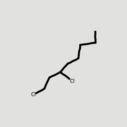 CCCCCC(Cl)CCCl